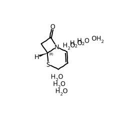 O.O.O.O.O.O.O.O=C1C[C@H]2SCC=CN12